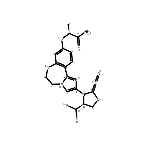 C[C@H](Sc1ccc2c(c1)OCCn1cc(N3C(=C=O)OC[C@H]3C(F)F)nc1-2)C(N)=O